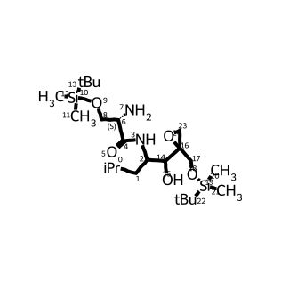 CC(C)CC(NC(=O)[C@@H](N)CO[Si](C)(C)C(C)(C)C)C(O)C1(CO[Si](C)(C)C(C)(C)C)CO1